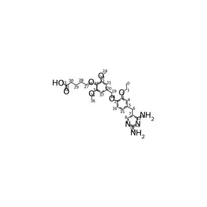 CCOc1cc(Cc2cnc(N)nc2N)ccc1OCc1cc(OC)c(OCCCCC(=O)O)c(OC)c1